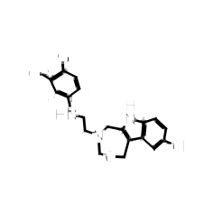 Clc1ccc2[nH]c3c(c2c1)CCCN(CCNc1ccc(Cl)c(Cl)c1)C3